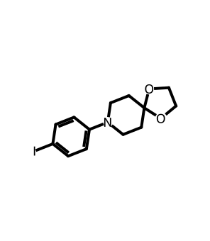 Ic1ccc(N2CCC3(CC2)OCCO3)cc1